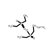 CCP(=O)([O-])CC.CCP(=O)([O-])CC.[GeH2+2]